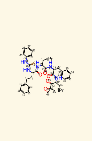 CC(C)CC(NC(=O)[C@H](CCc1ccccc1)NC(=S)Nc1ccccc1)C(=O)N[C@@H](Cc1ccccc1)C(=O)NC(CC(C)C)C(=O)C1(C)CO1